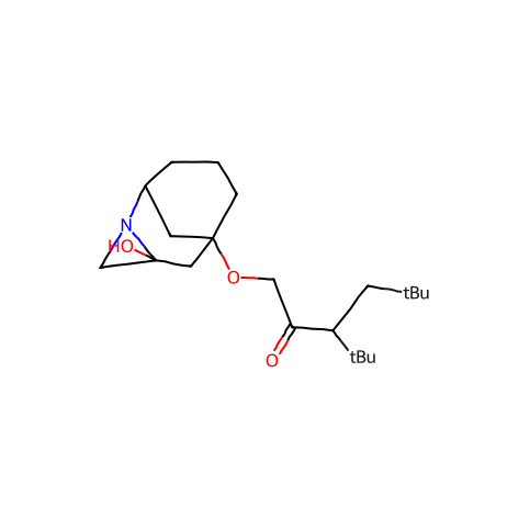 CC(C)(C)CC(C(=O)COC12CCCC(C1)N1CC1(O)C2)C(C)(C)C